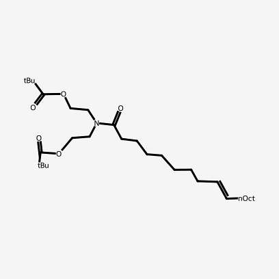 CCCCCCCCC=CCCCCCCCC(=O)N(CCOC(=O)C(C)(C)C)CCOC(=O)C(C)(C)C